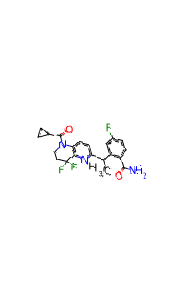 CC(c1ccc2c(n1)C(F)(F)CCN2C(=O)C1CC1)c1cc(F)ccc1C(N)=O